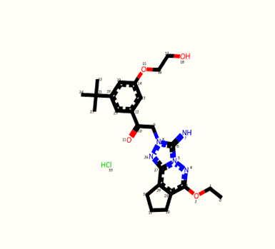 CCOc1nn2c(=N)n(CC(=O)c3cc(OCCO)cc(C(C)(C)C)c3)nc2c2c1CCC2.Cl